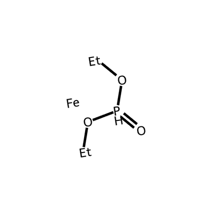 CCO[PH](=O)OCC.[Fe]